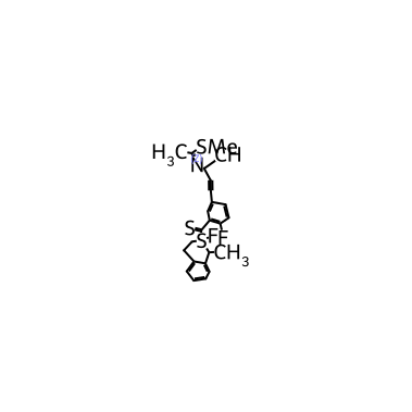 C#CC(C#Cc1ccc(F)c(C(=S)S2(F)CCc3ccccc3C2C)c1)/N=C(/C)SC